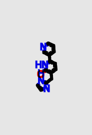 O=c1[nH]c(-c2cccnc2)ccc1Cc1ncc[nH]1